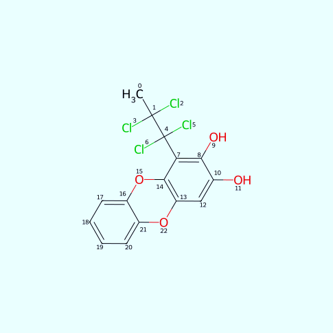 CC(Cl)(Cl)C(Cl)(Cl)c1c(O)c(O)cc2c1Oc1ccccc1O2